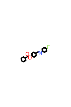 O=C(Oc1ccc(C=Nc2ccc(F)cc2)cc1)c1ccccc1